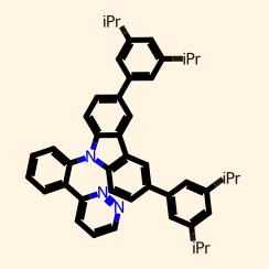 CC(C)c1cc(-c2ccc3c(c2)c2cc(-c4cc(C(C)C)cc(C(C)C)c4)ccc2n3-c2ccccc2-c2cccnn2)cc(C(C)C)c1